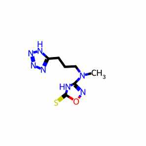 CN(CCCc1nnn[nH]1)c1noc(=S)[nH]1